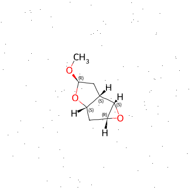 CO[C@H]1C[C@@H]2[C@@H]3O[C@@H]3C[C@@H]2O1